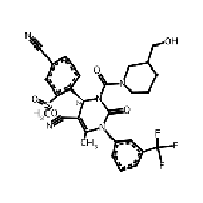 CC1=C(C#N)[C@@H](c2ccc(C#N)cc2S(C)(=O)=O)N(C(=O)N2CCCC(CO)C2)C(=O)N1c1cccc(C(F)(F)F)c1